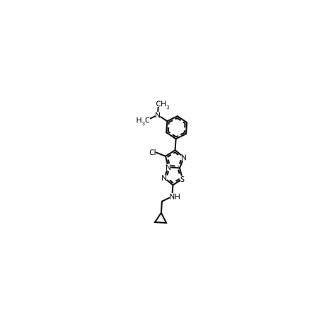 CN(C)c1cccc(-c2nc3sc(NCC4CC4)nn3c2Cl)c1